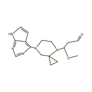 COC(CC=O)N1CCN(c2ncnc3[nH]ccc23)CC12CC2